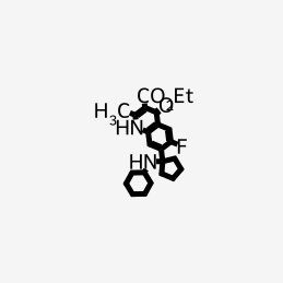 CCOC(=O)c1c(C)[nH]c2cc(C3(NC4CCCCC4)CCCC3)c(F)cc2c1=O